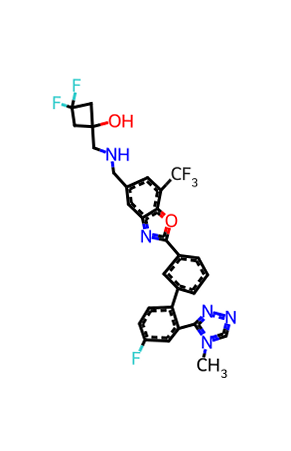 Cn1cnnc1-c1cc(F)ccc1-c1cccc(-c2nc3cc(CNCC4(O)CC(F)(F)C4)cc(C(F)(F)F)c3o2)c1